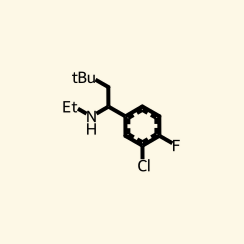 CCNC(CC(C)(C)C)c1ccc(F)c(Cl)c1